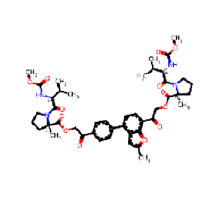 COC(=O)N[C@H](C(=O)N1CCC[C@@]1(C)C(=O)OCC(=O)c1ccc(-c2ccc(C(=O)COC(=O)[C@]3(C)CCCN3C(=O)[C@@H](NC(=O)OC)C(C)C)c3oc(C)cc23)cc1)C(C)C